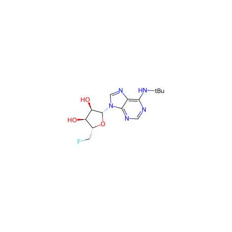 CC(C)(C)Nc1ncnc2c1ncn2[C@@H]1O[C@H](CF)[C@@H](O)[C@H]1O